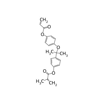 C=CC(=O)Oc1ccc(OC(C)(C)c2ccc(OC(=O)C(=C)C)cc2)cc1